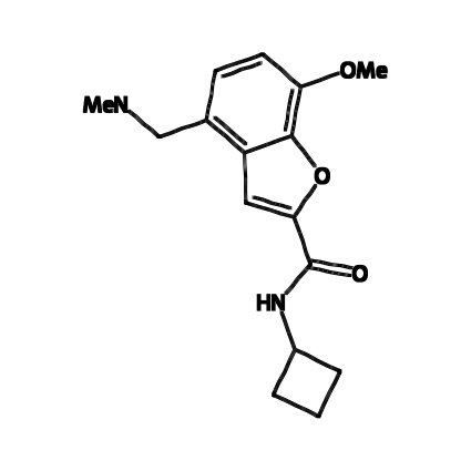 CNCc1ccc(OC)c2oc(C(=O)NC3CCC3)cc12